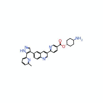 Cc1cccc(-c2[nH]ncc2-c2ccc3ncc(-c4ccc(C(=O)O[C@H]5CC[C@H](N)CC5)cn4)cc3c2)n1